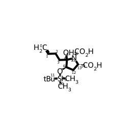 C=CCCC1(O)[C@H](O[Si](C)(C)C(C)(C)C)C[C@@H](C(=O)O)N1C(=O)O